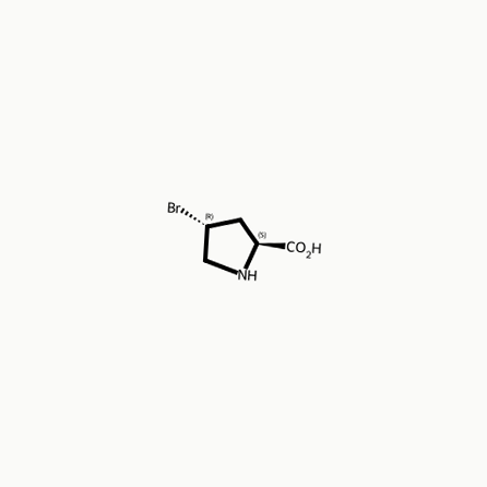 O=C(O)[C@@H]1C[C@@H](Br)CN1